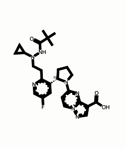 CC(C)(C)C(=O)NN(CCc1ncc(F)cc1[C@@H]1CCCN1c1ccn2ncc(C(=O)O)c2n1)C1CC1